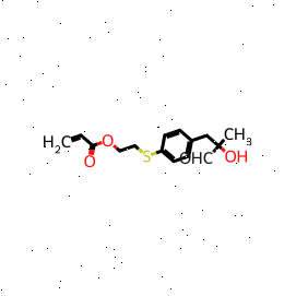 C=CC(=O)OCCSc1ccc(CC(C)(O)C=O)cc1